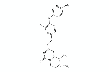 C[C@@H]1CCn2c(cc(OCc3ccc(Oc4ccc(C(F)(F)F)nc4)c(F)c3)nc2=O)N1C